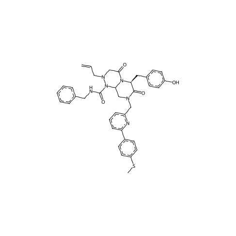 C=CCN1CC(=O)N2C(CN(Cc3cccc(-c4ccc(SC)cc4)n3)C(=O)[C@@H]2Cc2ccc(O)cc2)N1C(=O)NCc1ccccc1